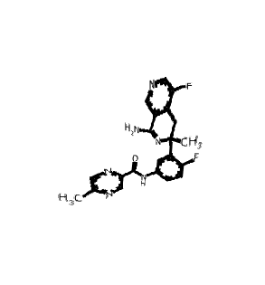 Cc1cnc(C(=O)Nc2ccc(F)c(C3(C)Cc4c(F)cncc4C(N)=N3)c2)cn1